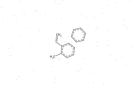 C=Cc1ccccc1C.c1ccccc1